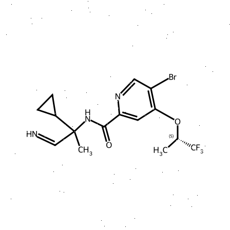 C[C@H](Oc1cc(C(=O)NC(C)(C=N)C2CC2)ncc1Br)C(F)(F)F